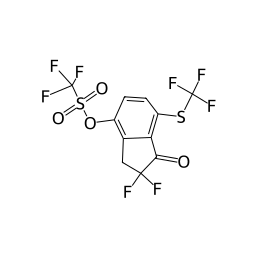 O=C1c2c(SC(F)(F)F)ccc(OS(=O)(=O)C(F)(F)F)c2CC1(F)F